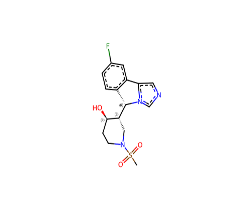 CS(=O)(=O)N1CC[C@@H](O)[C@H]([C@@H]2c3ccc(F)cc3-c3cncn32)C1